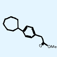 COC(=O)Cc1ccc(C2CCCCCC2)cc1